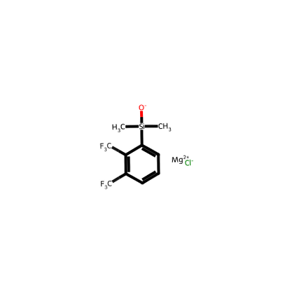 C[Si](C)([O-])c1cccc(C(F)(F)F)c1C(F)(F)F.[Cl-].[Mg+2]